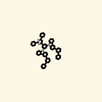 c1ccc(-c2cccc(-c3ccc4c(c3)c3ccccc3n4-c3cc(-c4cc(-c5ccccc5)nc(-c5ccccc5)n4)cc(-n4c5ccccc5c5cc(-c6cccc(-c7ccccc7)c6)ccc54)c3)c2)cc1